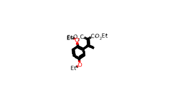 CCOC(=O)C(C(=O)OCC)=C(C)c1cc(OCC)ccc1OCC